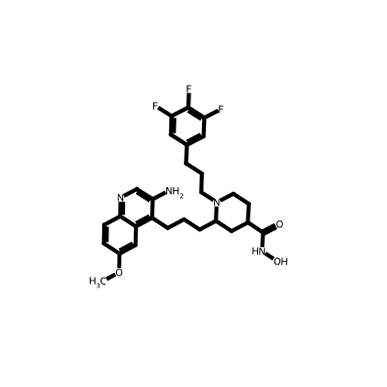 COc1ccc2ncc(N)c(CCCC3CC(C(=O)NO)CCN3CCCc3cc(F)c(F)c(F)c3)c2c1